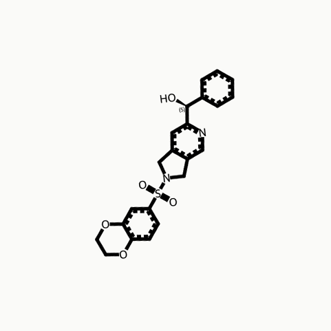 O=S(=O)(c1ccc2c(c1)OCCO2)N1Cc2cnc([C@@H](O)c3ccccc3)cc2C1